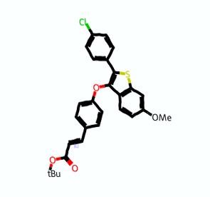 COc1ccc2c(Oc3ccc(/C=C/C(=O)OC(C)(C)C)cc3)c(-c3ccc(Cl)cc3)sc2c1